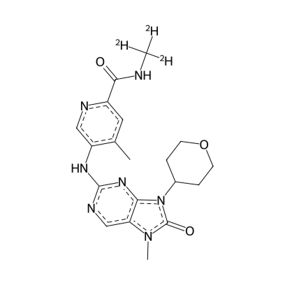 [2H]C([2H])([2H])NC(=O)c1cc(C)c(Nc2ncc3c(n2)n(C2CCOCC2)c(=O)n3C)cn1